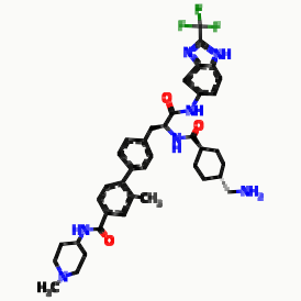 Cc1cc(C(=O)NC2CCN(C)CC2)ccc1-c1ccc(C[C@H](NC(=O)[C@H]2CC[C@H](CN)CC2)C(=O)Nc2ccc3[nH]c(C(F)(F)F)nc3c2)cc1